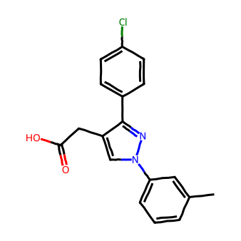 Cc1cccc(-n2cc(CC(=O)O)c(-c3ccc(Cl)cc3)n2)c1